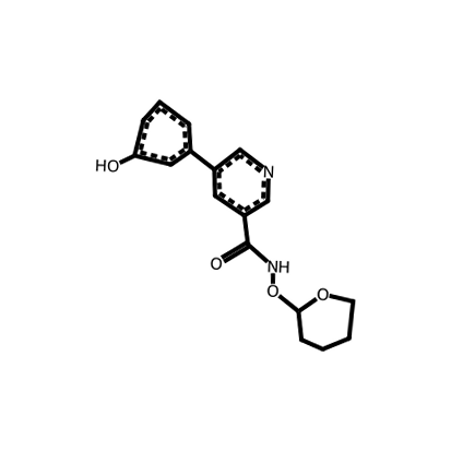 O=C(NOC1CCCCO1)c1cncc(-c2cccc(O)c2)c1